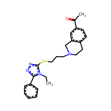 CCn1c(SCCCN2CCc3ccc(C(C)=O)cc3C2)nnc1-c1ccccc1